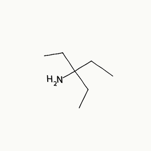 CCC(N)(CC)CC